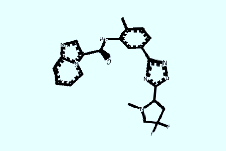 Cc1ccc(-c2noc(C3CC(F)(F)CN3C)n2)cc1NC(=O)c1cnc2ccccn12